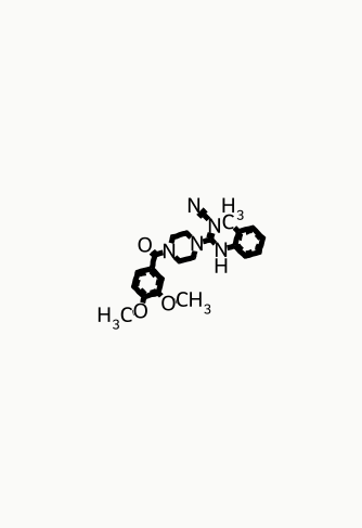 COc1ccc(C(=O)N2CCN(/C(=N\C#N)Nc3ccccc3C)CC2)cc1OC